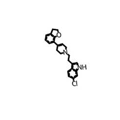 Clc1ccc2c(CCN3CC=C(c4cccc5c4OCC5)CC3)c[nH]c2c1